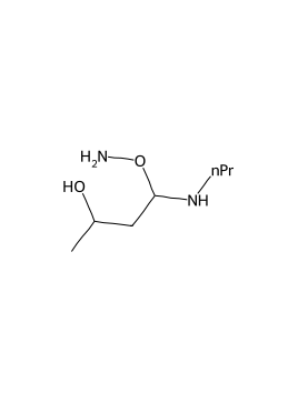 CCCNC(CC(C)O)ON